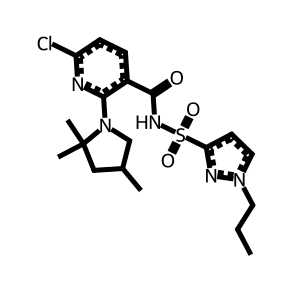 CCCn1ccc(S(=O)(=O)NC(=O)c2ccc(Cl)nc2N2CC(C)CC2(C)C)n1